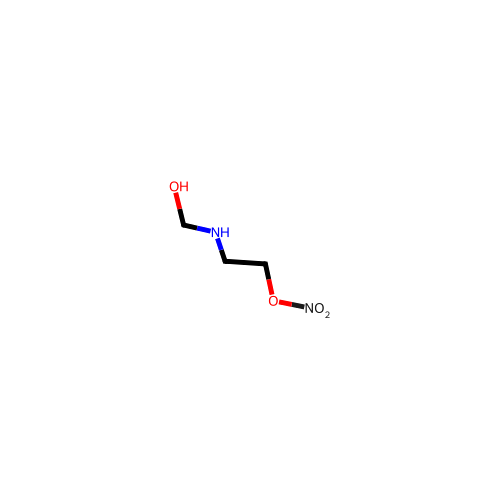 O=[N+]([O-])OCCNCO